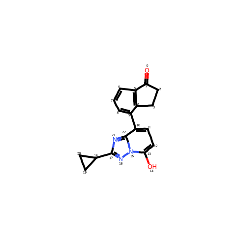 O=C1CCc2c1cccc2-c1ccc(O)n2nc(C3CC3)nc12